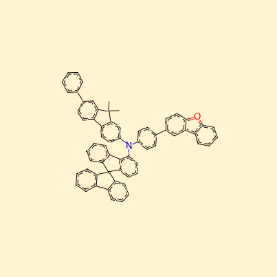 CC1(C)c2cc(-c3ccccc3)ccc2-c2ccc(N(c3ccc(-c4ccc5oc6ccccc6c5c4)cc3)c3cccc4c3-c3ccccc3C43c4ccccc4-c4ccccc43)cc21